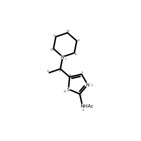 CC(=O)Nc1ncc(C(C)N2CCCCC2)s1